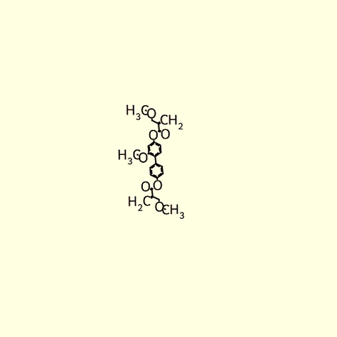 C=C(COC)C(=O)Oc1ccc(-c2ccc(OC(=O)C(=C)COC)cc2OC)cc1